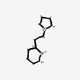 C1CCC(CCN2CCCC2)[N]C1